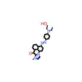 CCN(CCO)c1ccc(/N=N/c2ccc3c4c2cccc4c(=O)c2n3cc[n+]2C)cc1